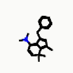 CC1=C2C(=C(N(C)C)C=CC2(C)C)C(Cc2ccccc2)=C1